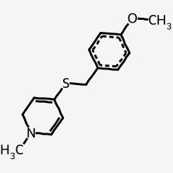 COc1ccc(CSC2=CCN(C)C=C2)cc1